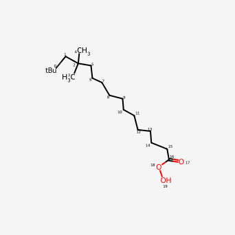 CC(C)(C)CC(C)(C)CCCCCCCCCCCC(=O)OO